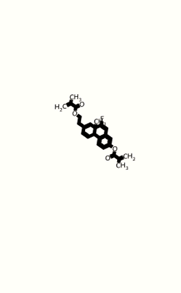 C=C(C)C(=O)OCCC1=CC2(C)C(F)=Cc3cc(OC(=O)C(=C)C)ccc3C2C=C1